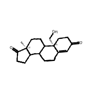 C[C@]12CCC3C(CCC4=CC(=O)CC[C@@]43CO)C1CCC2=O